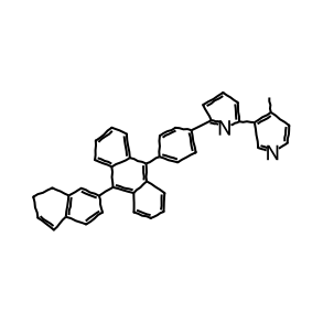 Cc1ccncc1-c1cccc(-c2ccc(-c3c4ccccc4c(-c4ccc5c(c4)CCC=C5)c4ccccc34)cc2)n1